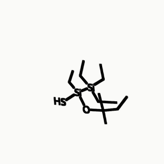 CCC(C)(C)O[Si](S)(CC)[Si](CC)(CC)CC